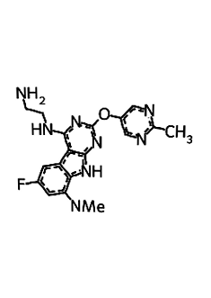 CNc1cc(F)cc2c1[nH]c1nc(Oc3cnc(C)nc3)nc(NCCN)c12